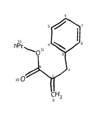 C=C(Cc1ccccc1)C(=O)OCCC